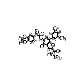 CCN(C(=O)Cn1nc(-c2cc(C#N)cc(C(F)(F)F)c2)c2oc(C(=O)NC(C)(C)C)cc2c1=O)c1ccc2c(c1)OC(F)(F)O2